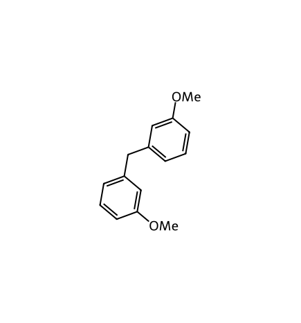 COc1cccc(Cc2cccc(OC)c2)c1